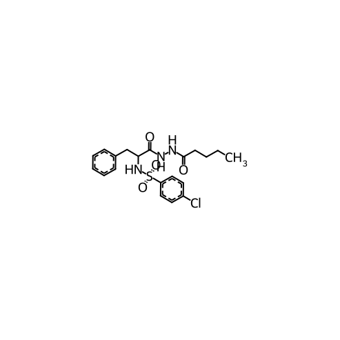 CCCCC(=O)NNC(=O)C(Cc1ccccc1)NS(=O)(=O)c1ccc(Cl)cc1